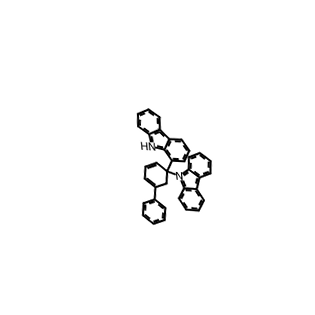 C1=CC(c2cccc3c2[nH]c2ccccc23)(n2c3ccccc3c3ccccc32)CC(c2ccccc2)=C1